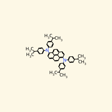 CC(C)c1ccc(N(c2ccc(C(C)C)cc2)c2ccc3ccc4c(N(c5ccc(C(C)C)cc5)c5ccc(C(C)C)cc5)ccc5ccc2c3c54)cc1